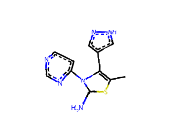 CC1=C(c2cn[nH]c2)N(c2ccncn2)C(N)S1